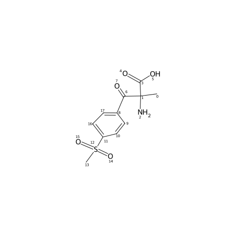 CC(N)(C(=O)O)C(=O)c1ccc(S(C)(=O)=O)cc1